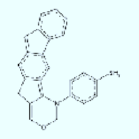 [SiH3]c1ccc(N2COC=C3Cc4cc5c(cc4=C32)-c2ccccc2C=5)cc1